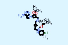 CC(C)N(CC1CC(Cc2nc3cc(C(F)(F)F)c(Cl)cc3n2COCC[Si](C)(C)C)C1)CC1CC(n2ccc3c(N)ncnc32)C2OC(C)(C)OC12